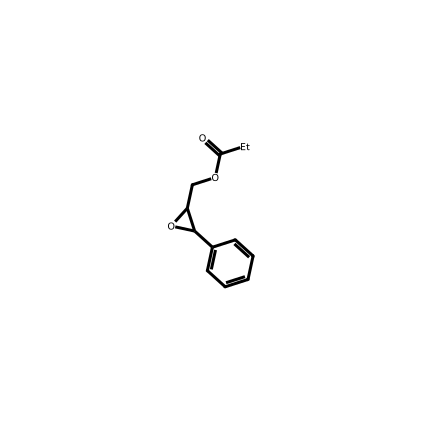 CCC(=O)OCC1OC1c1ccccc1